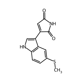 CSc1ccc2[nH]cc(C3=CC(=O)NC3=O)c2c1